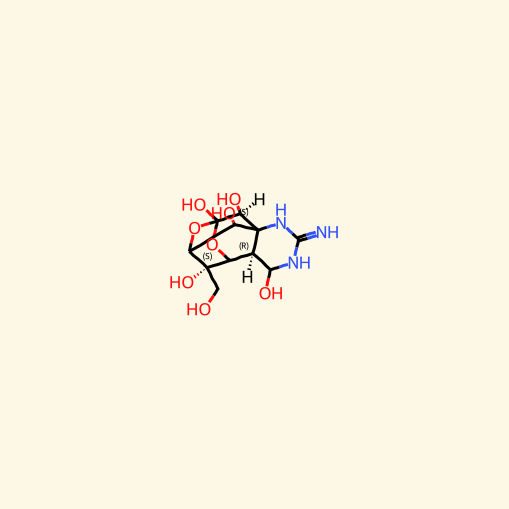 N=C1NC(O)[C@H]2C3OC4(O)OC(C(O)C2(N1)[C@@H]4O)[C@]3(O)CO